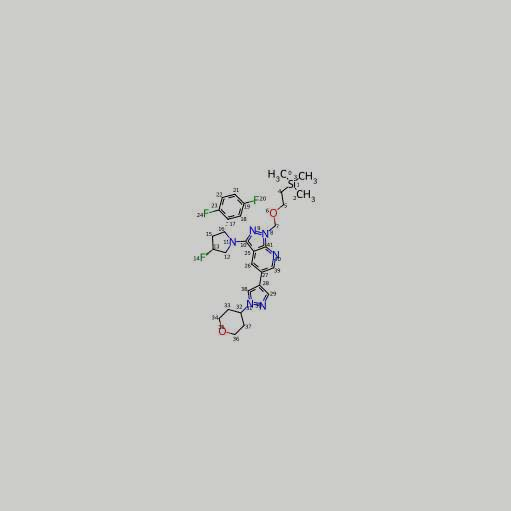 C[Si](C)(C)CCOCn1nc(N2C[C@@H](F)C[C@@H]2c2cc(F)ccc2F)c2cc(-c3cnn(C4CCOCC4)c3)cnc21